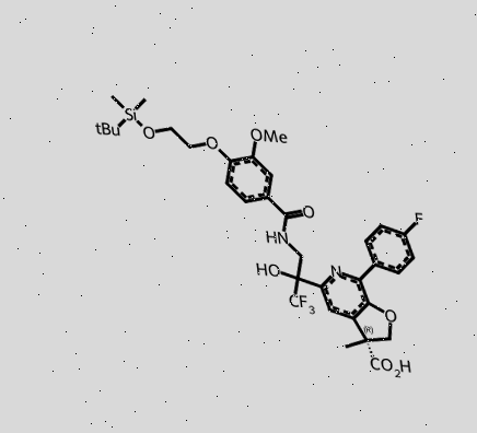 COc1cc(C(=O)NCC(O)(c2cc3c(c(-c4ccc(F)cc4)n2)OC[C@]3(C)C(=O)O)C(F)(F)F)ccc1OCCO[Si](C)(C)C(C)(C)C